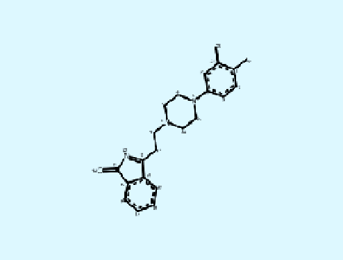 Cc1ccc(N2CCN(CCC3=NC(=O)c4ccccc43)CC2)cc1C